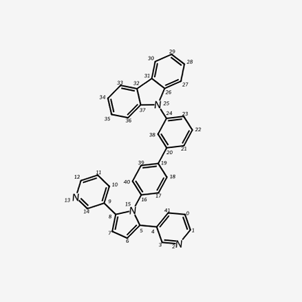 c1cncc(-c2ccc(-c3cccnc3)n2-c2ccc(-c3cccc(-n4c5ccccc5c5ccccc54)c3)cc2)c1